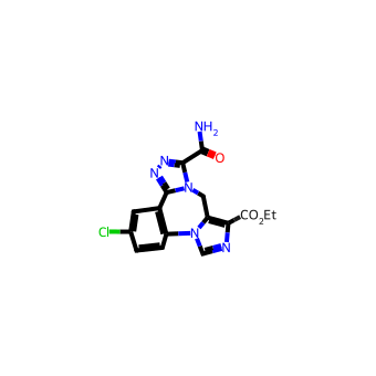 CCOC(=O)c1ncn2c1Cn1c(C(N)=O)nnc1-c1cc(Cl)ccc1-2